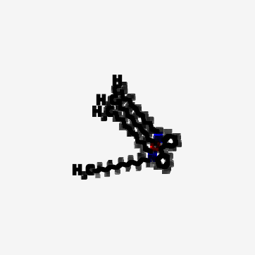 CCCCCCCCCCCCN(CCCCCCCCCCCC)c1ccccc1C(=O)c1ccccc1N(CCCCCCCCCCCC)CCCCCCCCCCCC